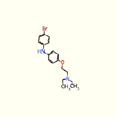 CCN(CC)CCOc1ccc(Nc2ccc(Br)cc2)cc1